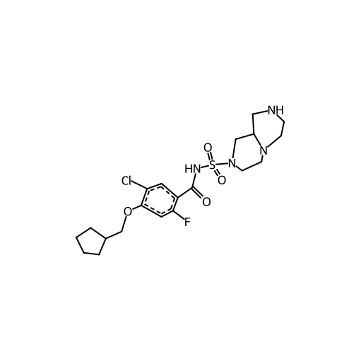 O=C(NS(=O)(=O)N1CCN2CCNCC2C1)c1cc(Cl)c(OCC2CCCC2)cc1F